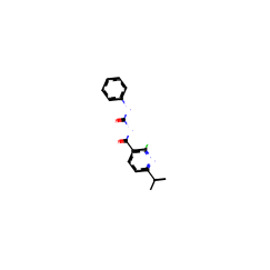 CC(C)c1ccc(C(=O)NC(=O)Nc2ccccc2)c(Cl)n1